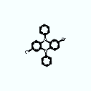 Clc1ccc2c(c1)N(c1ccccc1)c1ccc(Br)cc1N2c1ccccc1